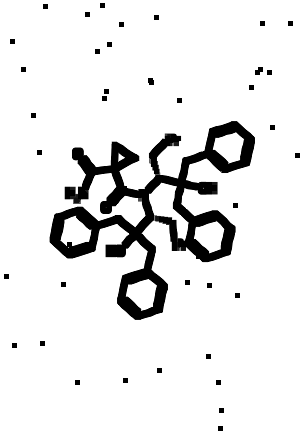 CC(C)C[C@@H](N(C(=O)C1(C(N)=O)CC1)[C@H](CC(C)C)C(O)(Cc1ccccc1)Cc1ccccc1)C(O)(Cc1ccccc1)Cc1ccccc1